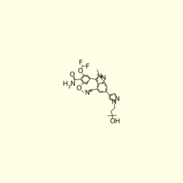 COc1cc(-c2c3c(C#N)cc(-c4cnn(CCC(C)(C)O)c4)cc3nn2C)cc(OC(F)F)c1C(N)=O